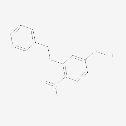 COc1ccc([N+](=O)[O-])c(NCc2cccnc2)c1